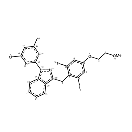 COCCOc1cc(F)c(Cn2nc(-c3nc(C)cc(Cl)n3)c3ccccc32)c(F)c1